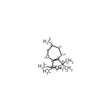 CC1COC(C(C)(C)C)=C(C(C)(C)C)SC1